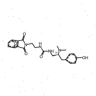 CN(C)[C@H](CNC(=O)NCCN1C(=O)c2c(c3ccc2o3)C1=O)Cc1ccc(O)cc1